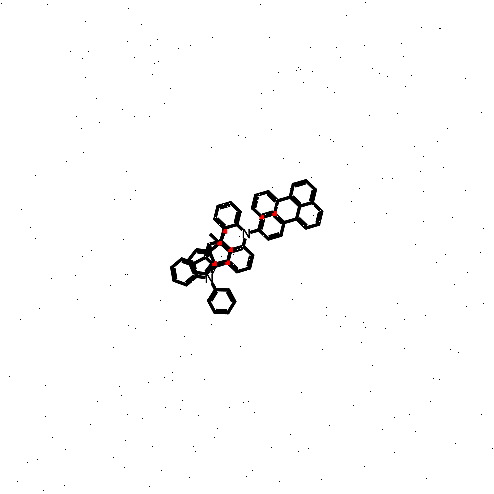 CC1(C)c2ccccc2-c2cccc(N(c3ccc(-c4cccc5cccc(-c6ccccc6)c45)cc3)c3ccccc3-c3ccc4c(c3)c3ccccc3n4-c3ccccc3)c21